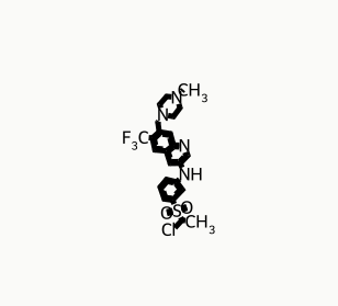 CC(Cl)S(=O)(=O)c1cccc(Nc2cnc3cc(CN4CCN(C)CC4)c(C(F)(F)F)cc3c2)c1